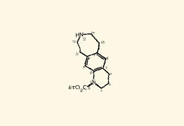 CCOC(=O)N1CCCc2cc3c(cc21)CCNCC3